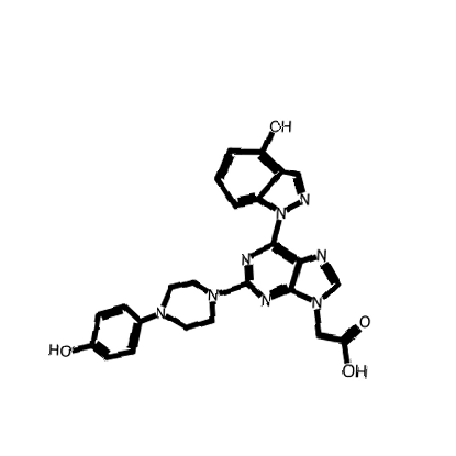 O=C(O)Cn1cnc2c(-n3ncc4c(O)cccc43)nc(N3CCN(c4ccc(O)cc4)CC3)nc21